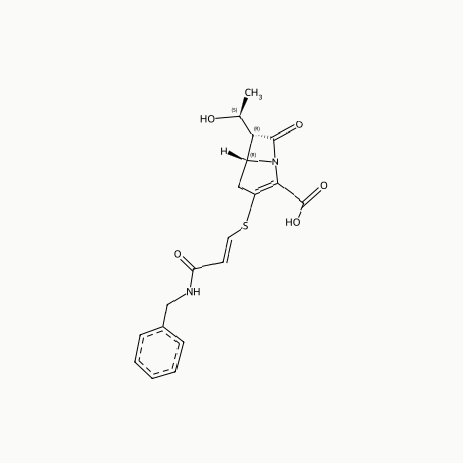 C[C@H](O)[C@@H]1C(=O)N2C(C(=O)O)=C(SC=CC(=O)NCc3ccccc3)C[C@H]12